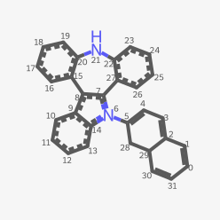 C1=CC2=CC=C(n3c4c(c5ccccc53)-c3ccccc3Nc3ccccc3-4)CC2C=C1